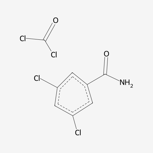 NC(=O)c1cc(Cl)cc(Cl)c1.O=C(Cl)Cl